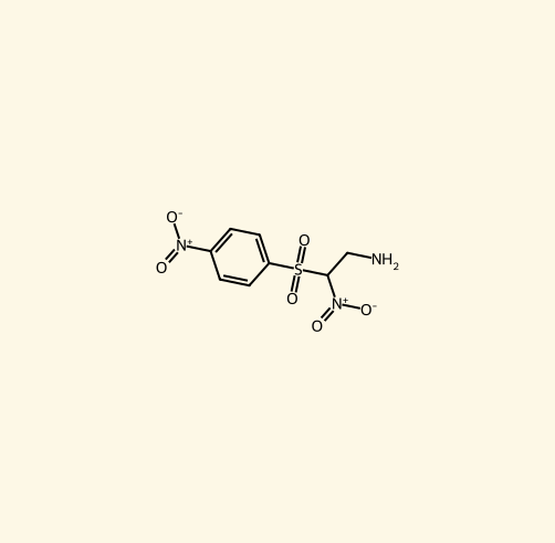 NCC([N+](=O)[O-])S(=O)(=O)c1ccc([N+](=O)[O-])cc1